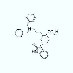 O=C(O)N1CCC(n2c(=O)[nH]c3ccccc32)CC1CCCN(Cc1ccccc1)Cc1ccccn1